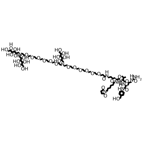 CC(C)[C@H](NC(=O)[C@H](CCCCNC(=O)CCOCCOCCOCCOCCOCCOCCN(CCOCCOCCOCCOCCOCCOCCN(C[C@H](O)[C@@H](O)[C@H](O)[C@H](O)CO)C[C@H](O)[C@@H](O)[C@H](O)[C@H](O)CO)C[C@H](O)[C@@H](O)[C@H](O)[C@H](O)CO)NC(=O)CCCCCN1C(=O)C=CC1=O)C(=O)N[C@@H](CCCNC(N)=O)C(=O)Nc1ccc(CO)cc1